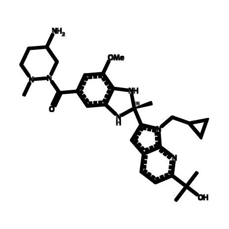 COc1cc(C(=O)N2CC(N)CCN2C)cc2c1N[C@](C)(c1cc3ccc(C(C)(C)O)nc3n1CC1CC1)N2